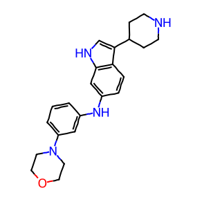 c1cc(Nc2ccc3c(C4CCNCC4)c[nH]c3c2)cc(N2CCOCC2)c1